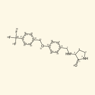 O=C1NCCC1NCc1ccc(OCc2ccc(C(F)(F)F)cc2)cc1